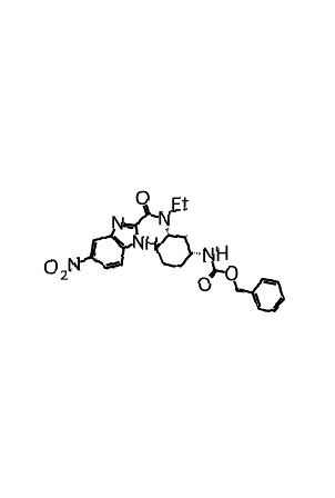 CCN(C(=O)c1nc2cc([N+](=O)[O-])ccc2[nH]1)[C@H]1CCC[C@@H](NC(=O)OCc2ccccc2)C1